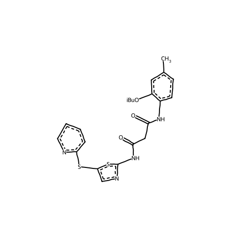 Cc1ccc(NC(=O)CC(=O)Nc2ncc(Sc3ccccn3)s2)c(OCC(C)C)c1